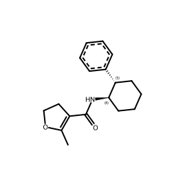 CC1=C(C(=O)N[C@@H]2CCCC[C@H]2c2ccccc2)CCO1